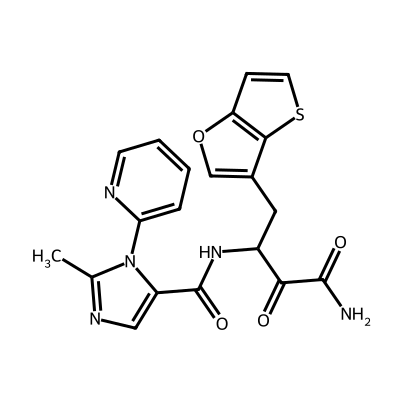 Cc1ncc(C(=O)NC(Cc2coc3ccsc23)C(=O)C(N)=O)n1-c1ccccn1